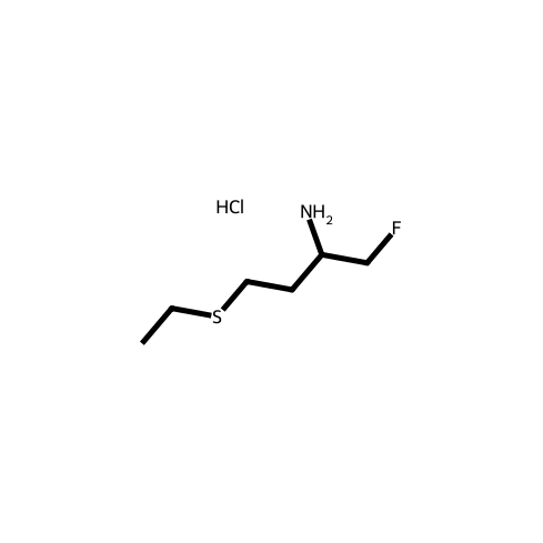 CCSCCC(N)CF.Cl